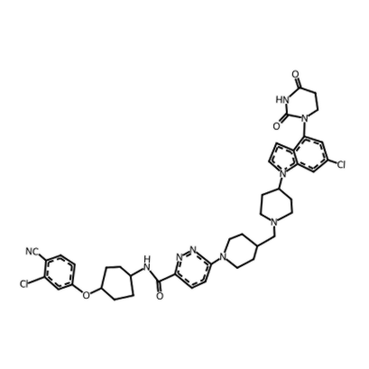 N#Cc1ccc(OC2CCC(NC(=O)c3ccc(N4CCC(CN5CCC(n6ccc7c(N8CCC(=O)NC8=O)cc(Cl)cc76)CC5)CC4)nn3)CC2)cc1Cl